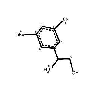 CCCCc1cc(C#N)cc([C](C)CO)c1